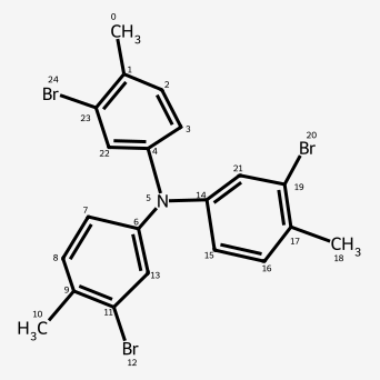 Cc1ccc(N(c2ccc(C)c(Br)c2)c2ccc(C)c(Br)c2)cc1Br